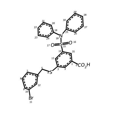 O=C(O)c1cc(SCc2cccc(Br)c2)cc(S(=O)(=O)N(c2ccccc2)c2ccccc2)c1